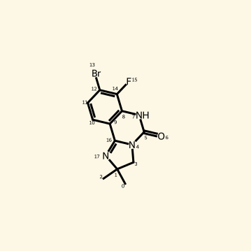 CC1(C)CN2C(=O)Nc3c(ccc(Br)c3F)C2=N1